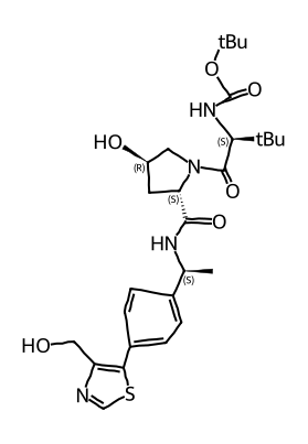 C[C@H](NC(=O)[C@@H]1C[C@@H](O)CN1C(=O)[C@@H](NC(=O)OC(C)(C)C)C(C)(C)C)c1ccc(-c2scnc2CO)cc1